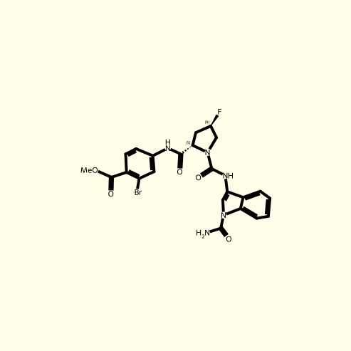 COC(=O)c1ccc(NC(=O)[C@@H]2C[C@@H](F)CN2C(=O)Nc2cn(C(N)=O)c3ccccc23)cc1Br